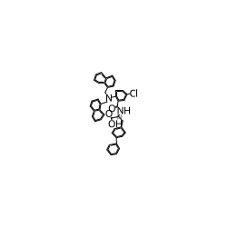 O=C(N[C@@H](Cc1ccc(-c2ccccc2)cc1)C(=O)O)c1cc(Cl)ccc1N(Cc1cccc2ccccc12)Cc1cccc2ccccc12